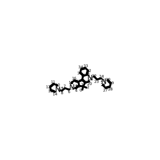 CC1(C)c2c[n+](CCC[n+]3ccccc3)ccc2-c2c1c[n+](CCC[n+]1ccccc1)c1ccccc21